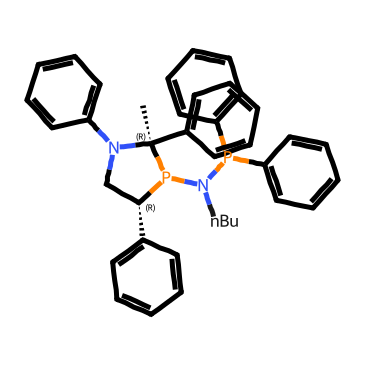 CCCCN(P(c1ccccc1)c1ccccc1)P1[C@H](c2ccccc2)CN(c2ccccc2)[C@@]1(C)c1ccccc1